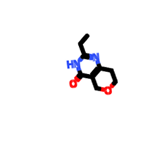 CCc1nc2c(c(=O)[nH]1)COCC2